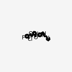 O=c1c2cc(-c3ccc(F)cc3Cl)oc2ccn1-c1ccc2c(cnn2CCN2CCCC2)c1